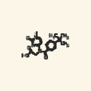 CC(C)(C)c1ccc(C(=O)N(CC(=O)O)c2cc[nH]c(=O)n2)cc1